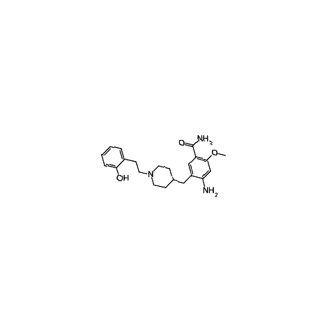 COc1cc(N)c(CC2CCN(CCc3ccccc3O)CC2)cc1C(N)=O